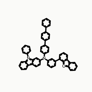 c1ccc(-c2ccc(-c3ccc(N(c4cccc(-c5cccc6c5oc5ccccc56)c4)c4ccc5c6ccccc6n(-c6ccccc6)c5c4)cc3)cc2)cc1